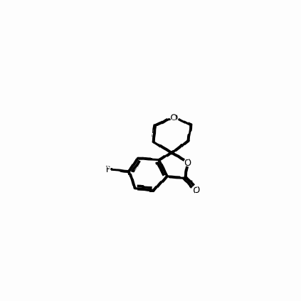 O=C1OC2(CCOCC2)c2cc(F)ccc21